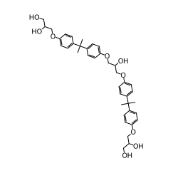 CC(C)(c1ccc(OCC(O)CO)cc1)c1ccc(OCC(O)COc2ccc(C(C)(C)c3ccc(OCC(O)CO)cc3)cc2)cc1